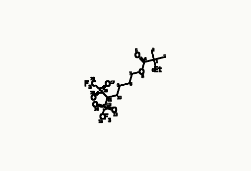 CCC(C)(C)C(=O)OCCCCC(S(=O)(=O)C(F)(F)F)S(=O)(=O)C(F)(F)F